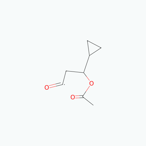 CC(=O)OC(C[C]=O)C1CC1